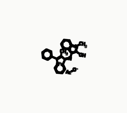 CC(=O)[O-].CC1=C(c2ccccc2)[n+]2ccccc2/C1=N/c1c(O)n(C)c2ccccc12